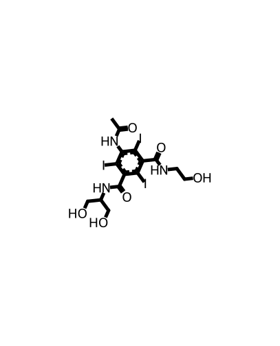 CC(=O)Nc1c(I)c(C(=O)NCCO)c(I)c(C(=O)NC(CO)CO)c1I